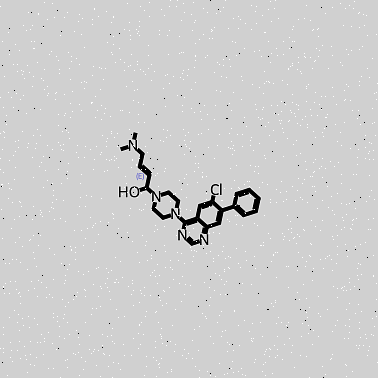 CN(C)C/C=C/C(O)N1CCN(c2ncnc3cc(-c4ccccc4)c(Cl)cc23)CC1